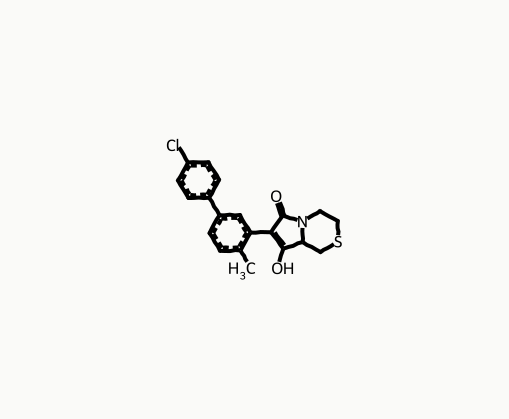 Cc1ccc(-c2ccc(Cl)cc2)cc1C1=C(O)C2CSCCN2C1=O